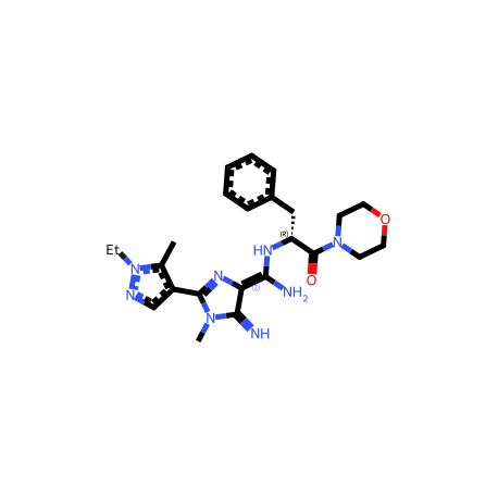 CCn1ncc(C2=N/C(=C(/N)N[C@H](Cc3ccccc3)C(=O)N3CCOCC3)C(=N)N2C)c1C